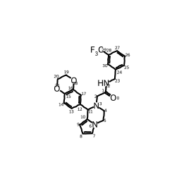 O=C(CN1CCn2cccc2C1c1ccc2c(c1)OCCO2)NCc1cccc(C(F)(F)F)c1